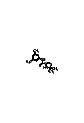 Cc1cc(C)cc(NC(=O)[C@H]2CSC(C)(C)N2)c1